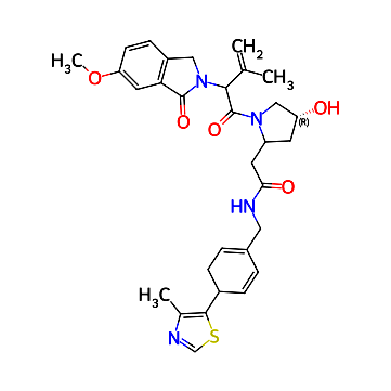 C=C(C)C(C(=O)N1C[C@H](O)CC1CC(=O)NCC1=CCC(c2scnc2C)C=C1)N1Cc2ccc(OC)cc2C1=O